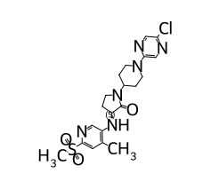 Cc1cc(S(C)(=O)=O)ncc1N[C@H]1CCN(C2CCN(c3cnc(Cl)cn3)CC2)C1=O